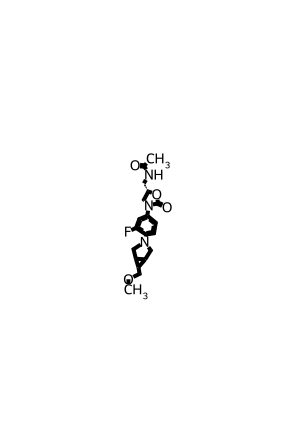 COCC1C2CN(c3ccc(N4C[C@H](CNC(C)=O)OC4=O)cc3F)CC12